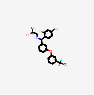 O[C@H](CNC(c1cccc(Oc2cccc(C(F)(F)C(F)(F)F)c2)c1)c1ccc(C(F)(F)F)cc1F)C(F)(F)F